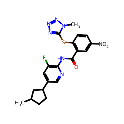 CC1CCC(c2cnc(NC(=O)c3cc([N+](=O)[O-])ccc3Sc3nnnn3C)c(F)c2)C1